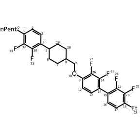 CCCCCc1ccc(C2CCC(COc3ccc(-c4ccc(CC)c(F)c4F)c(F)c3F)CC2)c(F)c1F